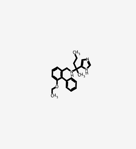 CCCC(C)(NCc1cccc(OCC)c1-c1ccccc1)c1cnc[nH]1